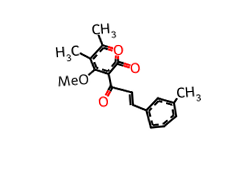 COc1c(C)c(C)oc(=O)c1C(=O)/C=C/c1cccc(C)c1